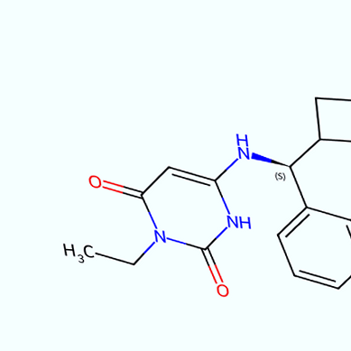 CCn1c(=O)cc(N[C@H](c2ccccc2)C2CCC2)[nH]c1=O